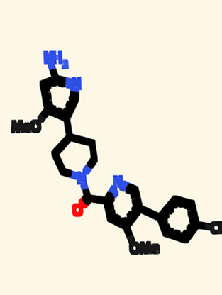 COc1cc(C(=O)N2CCC(c3cnc(N)cc3OC)CC2)ncc1-c1ccc(C(F)(F)F)cc1